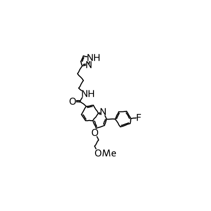 COCCOc1cc(-c2ccc(F)cc2)nc2cc(C(=O)NCCCc3cc[nH]n3)ccc12